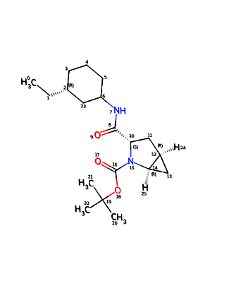 CC[C@@H]1CCCC(NC(=O)[C@@H]2C[C@H]3C[C@H]3N2C(=O)OC(C)(C)C)C1